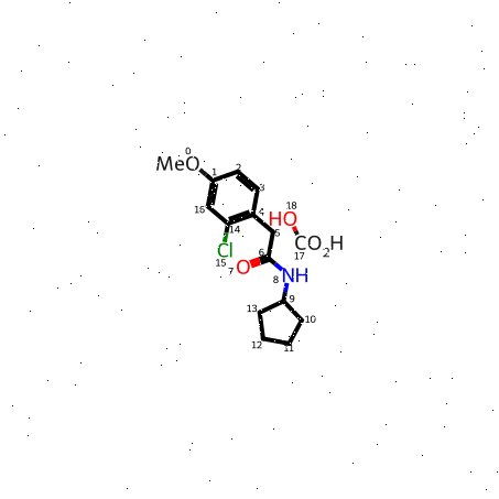 COc1ccc(CC(=O)NC2CCCC2)c(Cl)c1.O=C(O)O